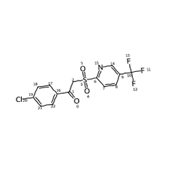 O=C(CS(=O)(=O)c1ccc(C(F)(F)F)cn1)c1ccc(Cl)cc1